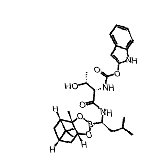 CC(C)C[C@H](NC(=O)[C@@H](NC(=O)Oc1cc2ccccc2[nH]1)[C@@H](C)O)B1O[C@@H]2C[C@@H]3C[C@@H](C3(C)C)[C@]2(C)O1